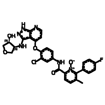 Cc1ccc(C(=O)Nc2ccc(Oc3ccnc4[nH]nc(N[C@H]5COC[C@@H]5O)c34)c(Cl)c2)[n+]([O-])c1-c1ccc(F)cc1